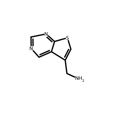 NCc1csc2ncncc12